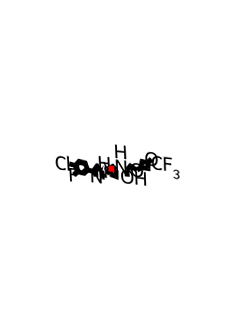 OC(COC1CC(OC(F)(F)F)C1)NC12CC(C1)[C@@H](n1cnc(-c3ccc(Cl)c(F)c3)c1)C2